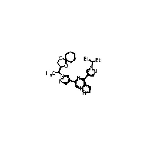 CCC(CC)n1cc(-c2nc(-c3cnn([C@@H](C)[C@H]4COC5(CCCCC5)O4)c3)cn3nccc23)cn1